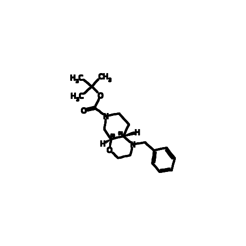 CC(C)(C)OC(=O)N1CC[C@H]2[C@H](C1)OCCN2Cc1ccccc1